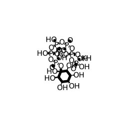 O=P(O)(O)OP(=O)(O)OP(=O)(O)OP(=O)(O)OP(=O)(O)OP(=O)(O)O[C@]1(O)[C@H](O)[C@H](O)[C@@H](O)[C@H](O)[C@H]1O.[KH]